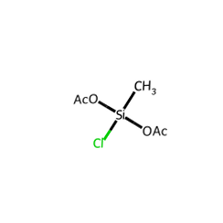 CC(=O)O[Si](C)(Cl)OC(C)=O